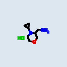 Cl.NCC1COCCN1C1CC1